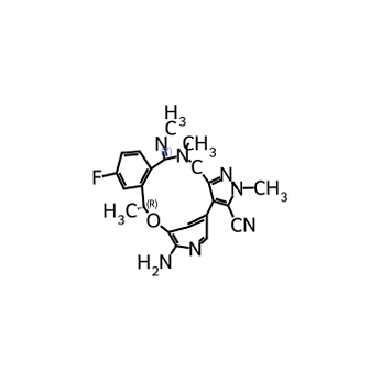 C/N=C1/c2ccc(F)cc2[C@@H](C)Oc2cc(cnc2N)-c2c(nn(C)c2C#N)CN1C